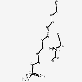 CCCCCCCCCCCC(N)=O.CCNCC